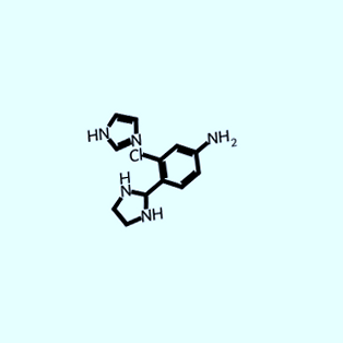 Nc1ccc(C2NCCN2)c(Cl)c1.c1c[nH]cn1